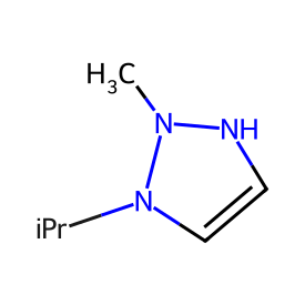 CC(C)N1C=CNN1C